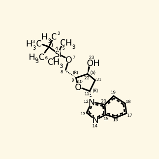 CC(C)(C)[Si](C)(C)OC[C@H]1O[C@@H](n2cnc3ccccc32)C[C@@H]1O